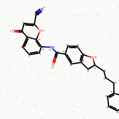 N#Cc1cc(=O)c2cccc(NC(=O)c3ccc4c(c3)CC(CCCc3ccccc3)O4)c2o1